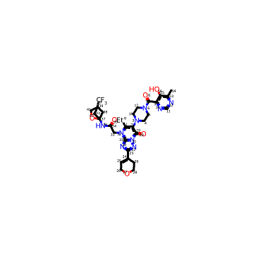 CCc1c(N2CCN(C(=O)c3ncnc(C)c3O)CC2)c(=O)n2nc(C3=CCOCC3)nc2n1CC(=O)NC12CC(C(F)(F)F)(CO1)C2